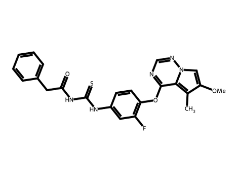 COc1cn2ncnc(Oc3ccc(NC(=S)NC(=O)Cc4ccccc4)cc3F)c2c1C